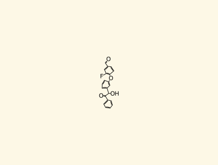 O=Cc1ccc(Oc2cccc(C(O)C(=O)c3ccccc3)c2)c(F)c1